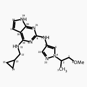 COCC(C)n1cc(Nc2nc(NCC3CC3)c3cc[nH]c3n2)cn1